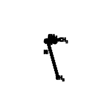 CCCCCCCCCCCCCCCCCCCCCCCC=CCCCc1ccccc1C1=C(CC)C(C)=C(c2cccc(CCCC)c2)[N+]1=[N-].[Ni]